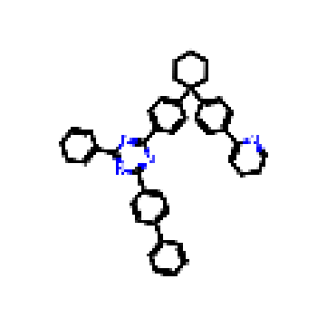 C1=CC(c2nc(-c3ccc(-c4ccccc4)cc3)nc(-c3ccc(C4(c5ccc(C6=CCCC=N6)cc5)CCCCC4)cc3)n2)=CCC1